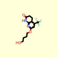 O=C1CCc2c(C(F)(F)F)cc(OCCCCO)nc2N1